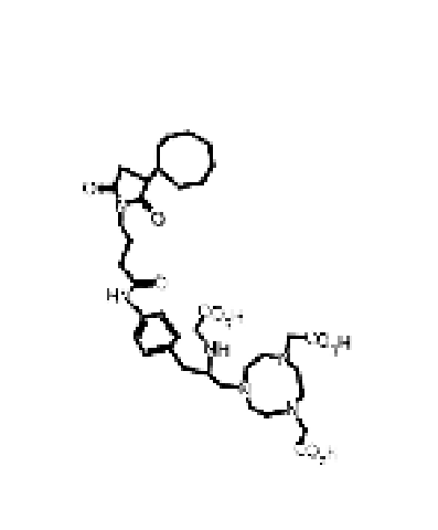 O=C(O)CNC(Cc1ccc(NC(=O)CCCN2C(=O)CC(C3CCCCCCC3)C2=O)cc1)CN1CCN(CC(=O)O)CCN(CC(=O)O)CC1